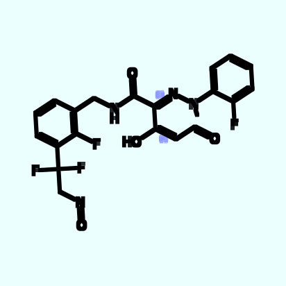 CN(/N=C(C(=O)NCc1cccc(C(F)(F)CN=O)c1F)\C(O)=C/C=O)c1ccccc1F